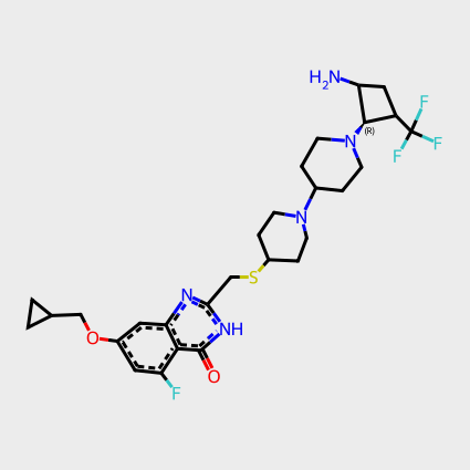 NC1CC(C(F)(F)F)[C@H]1N1CCC(N2CCC(SCc3nc4cc(OCC5CC5)cc(F)c4c(=O)[nH]3)CC2)CC1